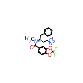 CN(C(=O)c1ccc2c(c1)OC(F)(F)O2)[C@H](CCN)Cc1ccccc1